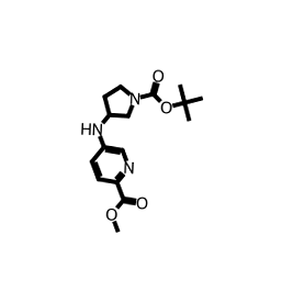 COC(=O)c1ccc(NC2CCN(C(=O)OC(C)(C)C)C2)cn1